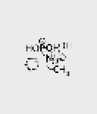 CCC(c1ccccc1)[N+]([O-])(CC(=O)O)CP(=O)(O)O